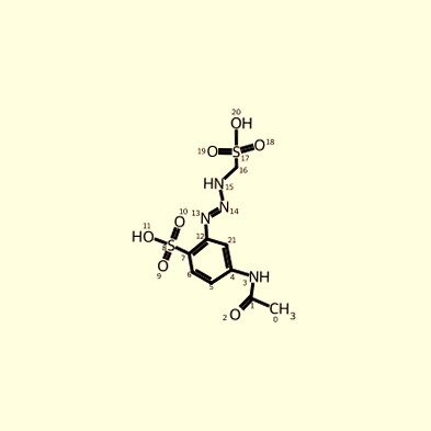 CC(=O)Nc1ccc(S(=O)(=O)O)c(N=NNCS(=O)(=O)O)c1